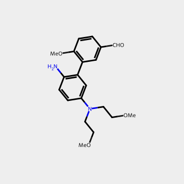 COCCN(CCOC)c1ccc(N)c(-c2cc(C=O)ccc2OC)c1